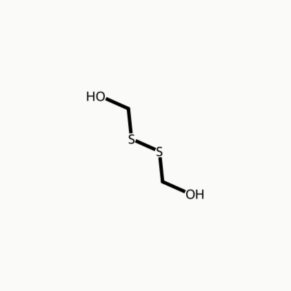 OCSSCO